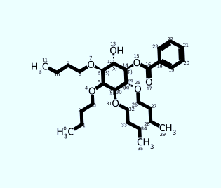 CCCCOC1[C@@H](OCCCC)[C@H](O)[C@@H](OC(=O)c2ccccc2)[C@H](OCCCC)[C@H]1OCCCC